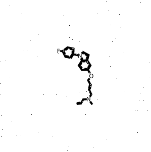 C=CCN(C)C/C=C/COc1ccc2c(ccn2-c2ccc(F)cc2)c1